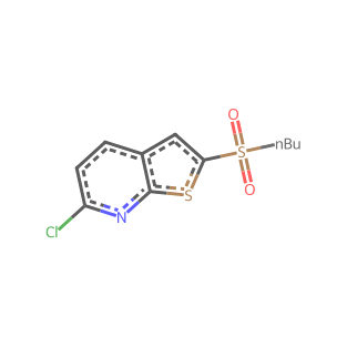 CCCCS(=O)(=O)c1cc2ccc(Cl)nc2s1